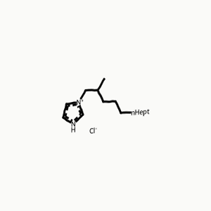 CCCCCCCCCCC(C)C[n+]1cc[nH]c1.[Cl-]